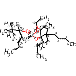 CCCCC(CC)(CC)C(CC)(CCC)O[Si](C)(OCC)OC(C)(CCCC)C(C)(C)C